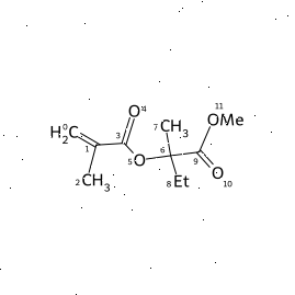 C=C(C)C(=O)OC(C)(CC)C(=O)OC